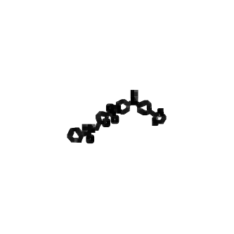 O=C(NCc1ccc(S(=O)(=O)N2CCC(Nc3ccc(C4SCCS4)cc3)CC2)o1)c1ccccc1